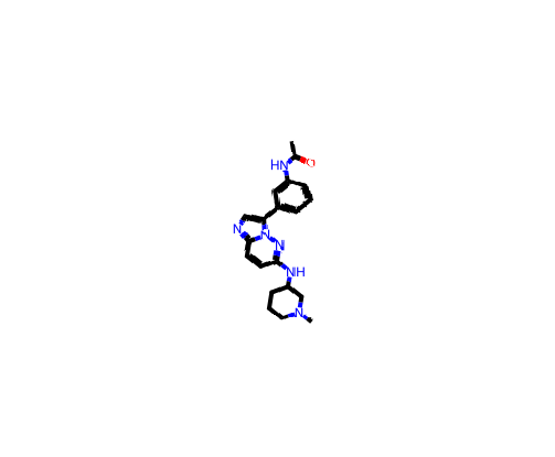 CC(=O)Nc1cccc(-c2cnc3ccc(NC4CCCN(C)C4)nn23)c1